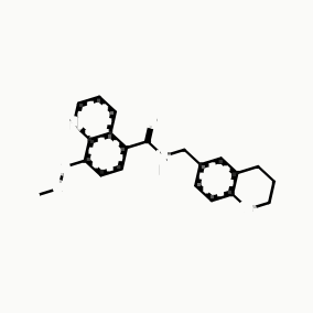 CSSc1ccc(C(=O)NCc2ccc3c(c2)CCCO3)c2cccnc12